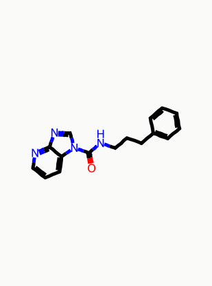 O=C(NCCCc1ccccc1)n1cnc2ncccc21